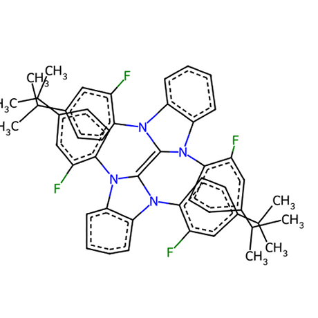 CC(C)c1ccc(N2C(=C3N(c4ccc(C(C)C)cc4F)c4ccccc4N3c3ccc(C(C)C)cc3F)N(c3ccc(C(C)C)cc3F)c3ccccc32)c(F)c1